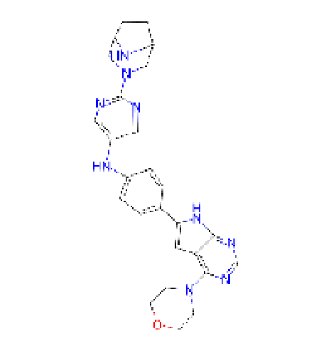 c1nc(N2CCOCC2)c2cc(-c3ccc(Nc4cnc(N5CC6CCC(C5)N6)nc4)cc3)[nH]c2n1